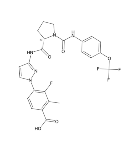 Cc1c(C(=O)O)ccc(-n2ccc(NC(=O)[C@@H]3CCCN3C(=O)Nc3ccc(OC(F)(F)F)cc3)n2)c1F